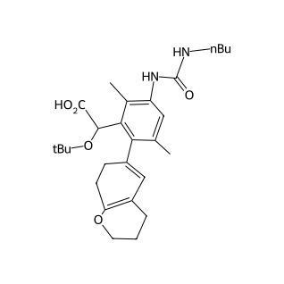 CCCCNC(=O)Nc1cc(C)c(C2=CC3=C(CC2)OCCC3)c(C(OC(C)(C)C)C(=O)O)c1C